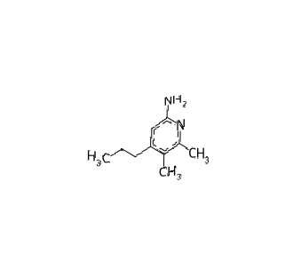 CCCc1cc(N)nc(C)c1C